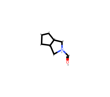 O=CN1CC2C[CH]CC2C1